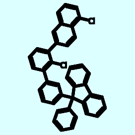 Clc1c(-c2cccc(C3(c4ccccc4)c4ccccc4-c4ccccc43)c2)cccc1-c1ccc2c(Cl)cccc2c1